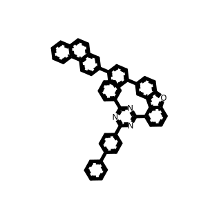 c1ccc(-c2ccc(-c3nc(-c4ccccc4)nc(-c4cccc5oc6ccc(-c7ccc(-c8ccc9c(ccc%10ccccc%109)c8)cc7)cc6c45)n3)cc2)cc1